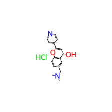 CN(C)Cc1ccc2c(c1)C(O)C=C(c1ccncc1)O2.Cl